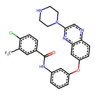 O=C(Nc1cccc(Oc2ccc3ncc(N4CCNCC4)nc3c2)c1)c1ccc(Cl)c(C(F)(F)F)c1